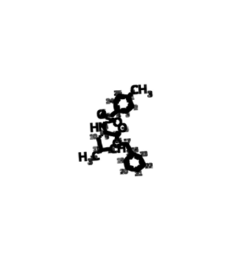 Cc1ccc(S(=O)(=O)N[C@@H](CC(C)C)C(=O)OCc2ccccc2)cc1